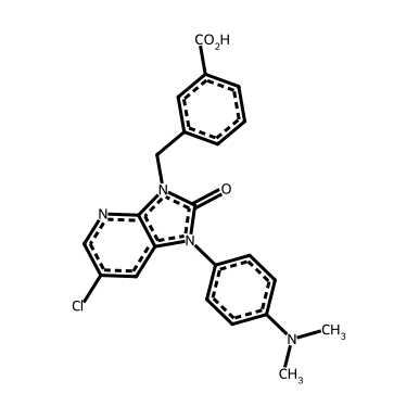 CN(C)c1ccc(-n2c(=O)n(Cc3cccc(C(=O)O)c3)c3ncc(Cl)cc32)cc1